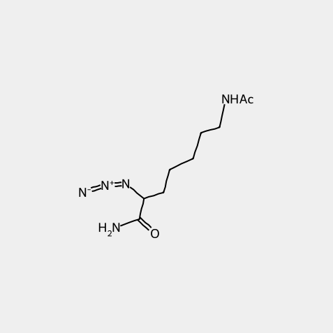 CC(=O)NCCCCCC(N=[N+]=[N-])C(N)=O